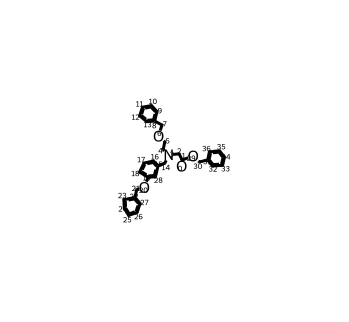 O=C(CN(CCOCc1ccccc1)Cc1cccc(OCc2ccccc2)c1)OCc1ccccc1